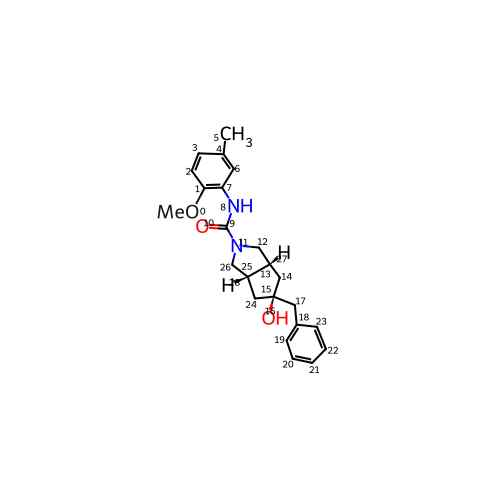 COc1ccc(C)cc1NC(=O)N1C[C@@H]2C[C@](O)(Cc3ccccc3)C[C@@H]2C1